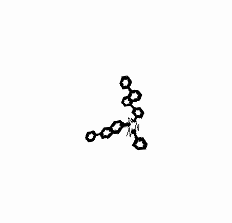 c1ccc(-c2ccc3cc(-c4nc(-c5ccccc5)nc(-c5cccc(-c6cccc7c(-c8ccccc8)cccc67)c5)n4)ccc3c2)cc1